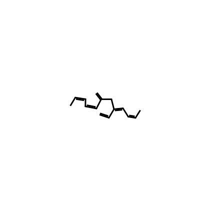 C=C/C(=C\C=C/C)CC(=C)/C=C\C=C/C